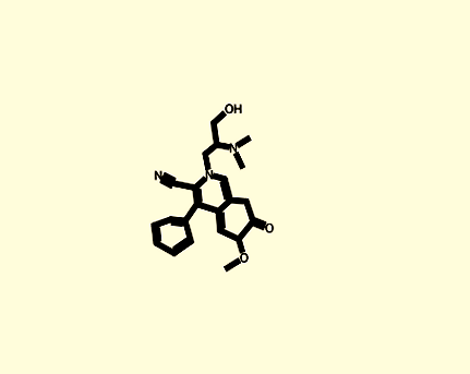 COC1C=C2C(=CN(CC(CO)N(C)C)C(C#N)=C2c2ccccc2)CC1=O